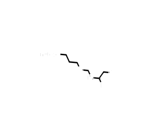 CCCCCCCCCCOCNC(CC)CO